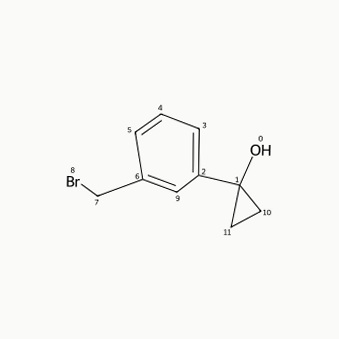 OC1(c2cccc(CBr)c2)CC1